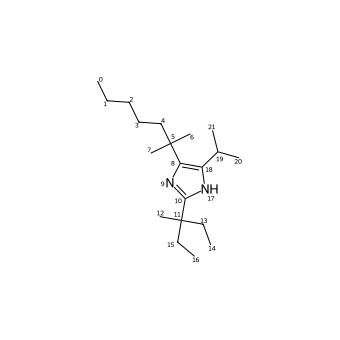 CCCCCC(C)(C)c1nc(C(C)(CC)CC)[nH]c1C(C)C